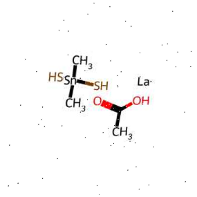 CC(=O)O.[CH3][Sn]([CH3])([SH])[SH].[La]